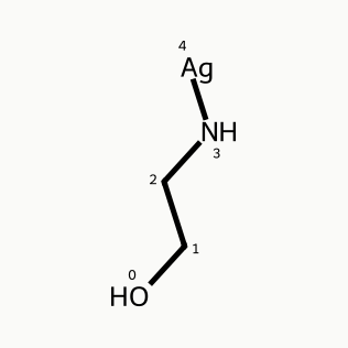 OCC[NH][Ag]